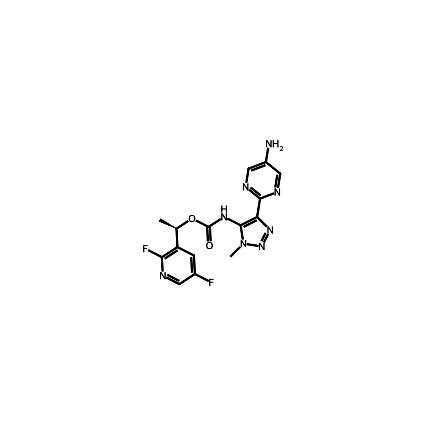 C[C@@H](OC(=O)Nc1c(-c2ncc(N)cn2)nnn1C)c1cc(F)cnc1F